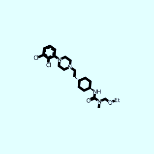 CCOCN(C)C(=O)N[C@H]1CC[C@H](CCN2CCN(c3cccc(Cl)c3Cl)CC2)CC1